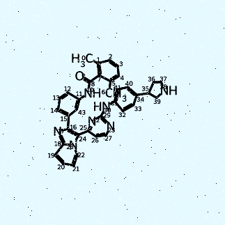 Cc1cccc(C)c1C(=O)Nc1cccc(-c2nc3ccccn3c2-c2ccnc(Nc3ccc(C4CCNC4)cc3)n2)c1